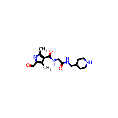 Cc1[nH]c(C=O)c(C)c1C(=O)NCC(=O)NCC1CCNCC1